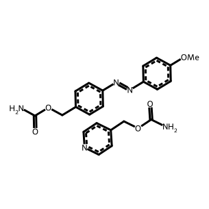 COc1ccc(N=Nc2ccc(COC(N)=O)cc2)cc1.NC(=O)OCc1ccncc1